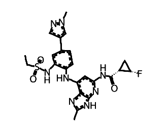 CCS(=O)(=O)Nc1cc(-c2cnn(C)c2)ccc1Nc1cc(NC(=O)[C@@H]2C[C@@H]2F)nc2[nH]c(C)nc12